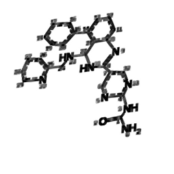 NC(=O)Nc1ncc(C2=Nc3cccc(-c4ccccc4)c3C(NCc3ccccn3)N2)cn1